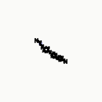 N#C/C=C/CC[C@H]1CC[C@H](CC[C@H]2CC[C@H](c3ccc(C#N)cc3)CC2)CC1